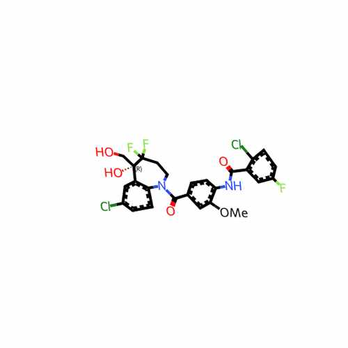 COc1cc(C(=O)N2CCC(F)(F)[C@](O)(CO)c3cc(Cl)ccc32)ccc1NC(=O)c1cc(F)ccc1Cl